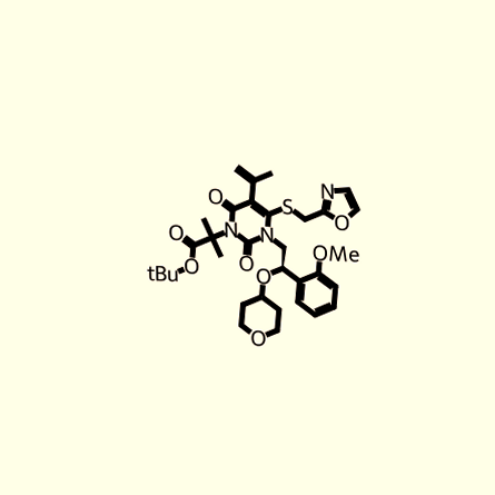 C=C(C)c1c(SCc2ncco2)n(C[C@H](OC2CCOCC2)c2ccccc2OC)c(=O)n(C(C)(C)C(=O)OC(C)(C)C)c1=O